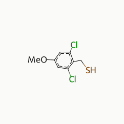 COc1cc(Cl)c(CS)c(Cl)c1